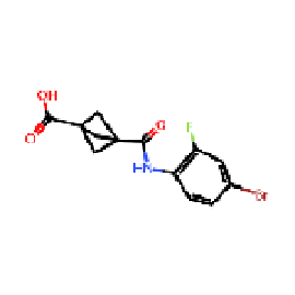 O=C(O)C12CC(C(=O)Nc3ccc(Br)cc3F)(C1)C2